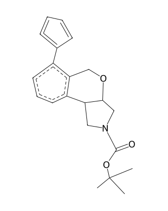 CC(C)(C)OC(=O)N1CC2OCc3c(C4=C=CC=C4)cccc3C2C1